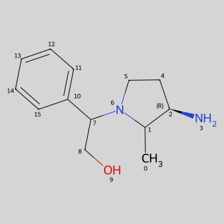 CC1[C@H](N)CCN1C(CO)c1ccccc1